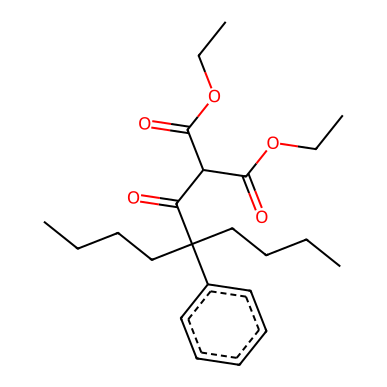 CCCCC(CCCC)(C(=O)C(C(=O)OCC)C(=O)OCC)c1ccccc1